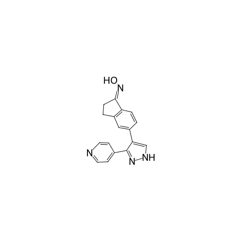 ON=C1CCc2cc(-c3c[nH]nc3-c3ccncc3)ccc21